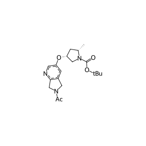 CC(=O)N1Cc2cc(O[C@@H]3C[C@H](C)N(C(=O)OC(C)(C)C)C3)cnc2C1